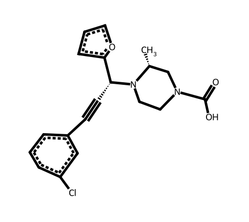 C[C@@H]1CN(C(=O)O)CCN1[C@H](C#Cc1cccc(Cl)c1)c1ccco1